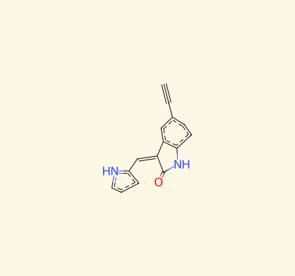 C#Cc1ccc2c(c1)C(=Cc1ccc[nH]1)C(=O)N2